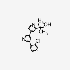 CC(C)(CO)c1cc(-c2cncc(-c3cc[c]cc3Cl)c2)ccn1